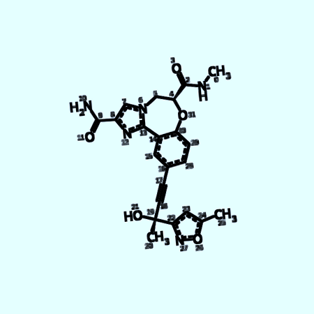 CNC(=O)[C@@H]1Cn2cc(C(N)=O)nc2-c2cc(C#C[C@@](C)(O)c3cc(C)on3)ccc2O1